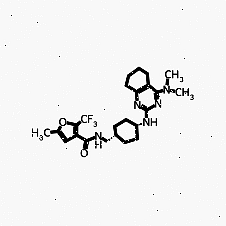 Cc1cc(C(=O)NC[C@H]2CC[C@@H](Nc3nc4c(c(N(C)C)n3)CCCC4)CC2)c(C(F)(F)F)o1